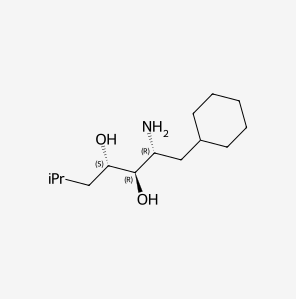 CC(C)C[C@H](O)[C@H](O)[C@H](N)CC1CCCCC1